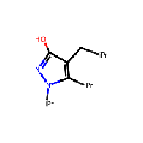 CC(C)Cc1c(O)nn(C(C)C)c1C(C)C